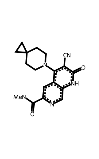 CNC(=O)c1cc2c(N3CCC4(CC3)CC4)c(C#N)c(=O)[nH]c2cn1